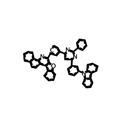 c1ccc(-c2nc(-c3cccc(-c4nc5c6ccccc6ccc5c5c4oc4ccccc45)c3)cc(-c3cccc(-n4c5ccccc5c5ccccc54)c3)n2)cc1